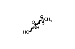 CS(=O)(=S)C=CC(=O)NCCO